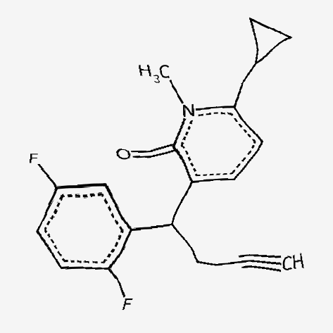 C#CCC(c1cc(F)ccc1F)c1ccc(C2CC2)n(C)c1=O